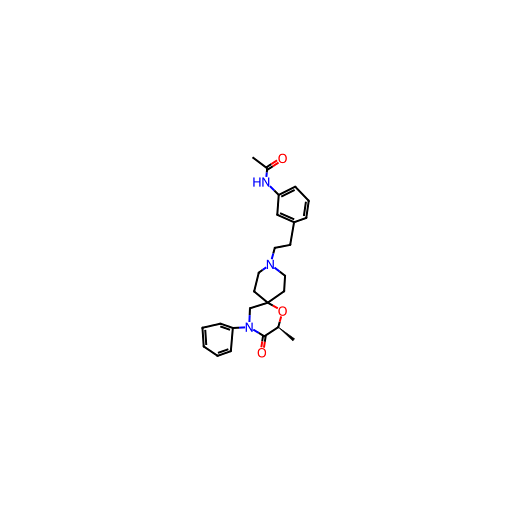 CC(=O)Nc1cccc(CCN2CCC3(CC2)CN(c2ccccc2)C(=O)[C@H](C)O3)c1